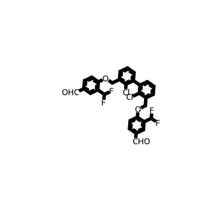 O=Cc1ccc(OCc2cccc(-c3cccc(COc4ccc(C=O)cc4C(F)F)c3Cl)c2Cl)c(C(F)F)c1